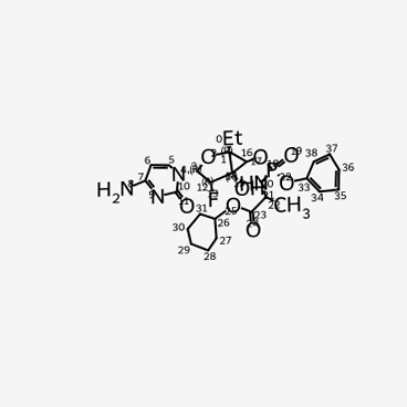 CC[C@]12O[C@@H](n3ccc(N)nc3=O)[C@H](F)[C@@]1(O)C2OP(=O)(NC(C)C(=O)OC1CCCCC1)Oc1ccccc1